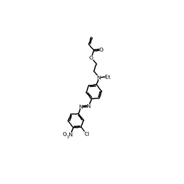 C=CC(=O)OCCN(CC)c1ccc(N=Nc2ccc([N+](=O)[O-])c(Cl)c2)cc1